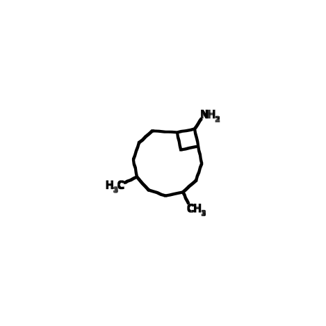 CC1CCCC2CC(CCC(C)CC1)C2N